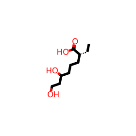 CC[C@H](CCCC(O)CCO)C(=O)O